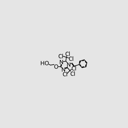 OCCOC1=NC(C(Cl)(Cl)Cl)N(C=Cc2ccccc2)C(C(Cl)(Cl)Cl)=N1